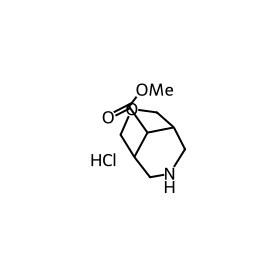 COC(=O)C1C2CNCC1COC2.Cl